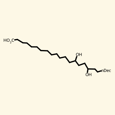 CCCCCCCCCCCCC(O)CCC(O)CCCCCCCCCCCCC(=O)O